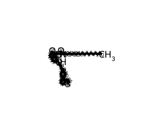 CCCCCCCCCCCCCCCCCCNC(=O)OCn1c(=O)ccc2ccc(OCCCCN3CCN(c4cccc5sccc45)CC3)cc21